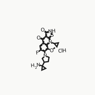 COc1c(N2CCC(C3(N)CC3)C2)c(F)cc2c(=O)c3c(=O)[nH]sc3n(C3CC3)c12.Cl